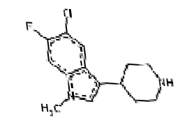 Cn1cc(C2CCNCC2)c2cc(Cl)c(F)cc21